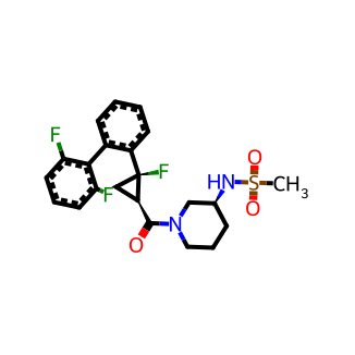 CS(=O)(=O)N[C@H]1CCCN(C(=O)[C@H]2C[C@]2(F)c2ccccc2-c2c(F)cccc2F)C1